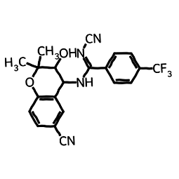 CC1(C)Oc2ccc(C#N)cc2C(NC(=NC#N)c2ccc(C(F)(F)F)cc2)C1O